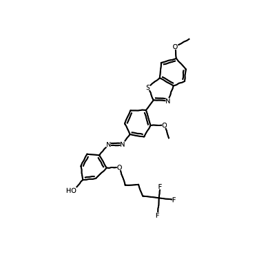 COc1ccc2nc(-c3ccc(N=Nc4ccc(O)cc4OCCCC(F)(F)F)cc3OC)sc2c1